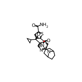 NC(=O)c1ccc(C(=O)NC2CC3CCC(C2)N3c2ccc(C(=O)C3CC3)cn2)s1